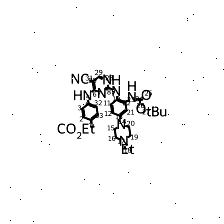 CCOC(=O)c1ccc(Nc2nc(Nc3ccc(N4CCN(CC)CC4)cc3NC(=O)OC(C)(C)C)ncc2C#N)cc1